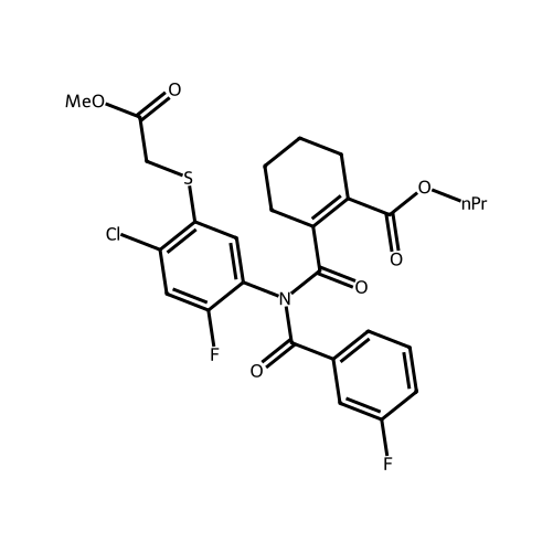 CCCOC(=O)C1=C(C(=O)N(C(=O)c2cccc(F)c2)c2cc(SCC(=O)OC)c(Cl)cc2F)CCCC1